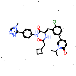 CC(C)n1cc(-c2ccc(Cl)c(C=C(NC(=O)CC3CCC3)C(=O)Nc3ccc(-c4nncn4C)cc3)c2)ccc1=O